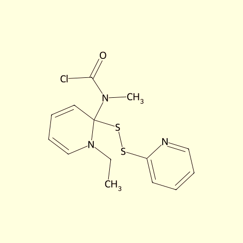 CCN1C=CC=CC1(SSc1ccccn1)N(C)C(=O)Cl